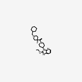 C=C(N1CCC(n2c(OCC)nc3cccnc32)CC1)C1(F)CCN(CC2CCCCC2)CC1